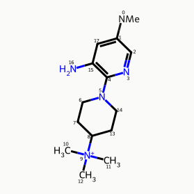 CNc1cnc(N2CCC([N+](C)(C)C)CC2)c(N)c1